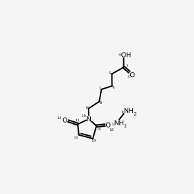 NN.O=C(O)CCCCCN1C(=O)C=CC1=O